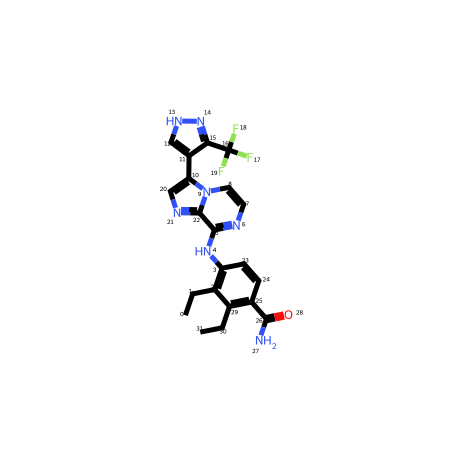 CCc1c(Nc2nccn3c(-c4c[nH]nc4C(F)(F)F)cnc23)ccc(C(N)=O)c1CC